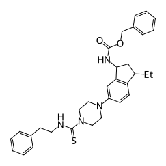 CCC1CC(NC(=O)OCc2ccccc2)c2cc(N3CCN(C(=S)NCCc4ccccc4)CC3)ccc21